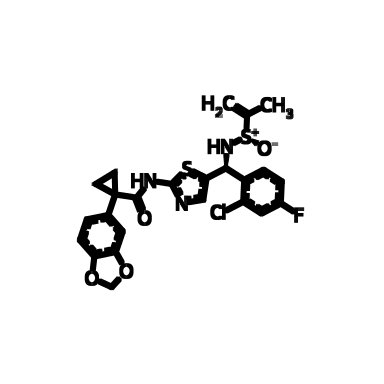 C=C(C)[S@@+]([O-])N[C@H](c1cnc(NC(=O)C2(c3ccc4c(c3)OCO4)CC2)s1)c1ccc(F)cc1Cl